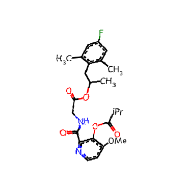 COc1ccnc(C(=O)NCC(=O)OC(C)Cc2c(C)cc(F)cc2C)c1OC(=O)C(C)C